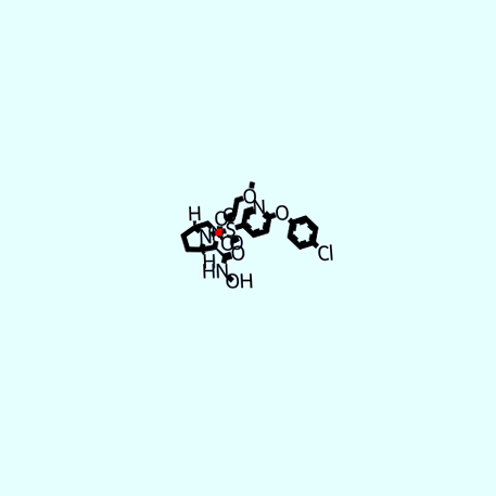 COCCOC(=O)N1[C@@H]2CC[C@H]1[C@H](C(=O)NO)N(S(=O)(=O)c1ccc(Oc3ccc(Cl)cc3)nc1)C2